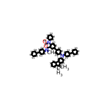 CN(C(=O)c1cc(-c2ccc(N(c3ccc(-c4ccccc4)cc3)c3ccc4c(c3)-c3ccccc3C4(C)C)cc2)ccc1N(C=O)c1ccccc1)c1ccc(-c2ccccc2)cc1